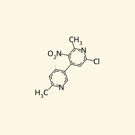 Cc1ccc(-c2cc(Cl)nc(C)c2[N+](=O)[O-])cn1